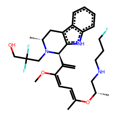 C=C(/C(=C\C=C(/C)O[C@@H](C)CNCCCF)OC)[C@@H]1c2[nH]c3ccccc3c2C[C@@H](C)N1CC(F)(F)CO